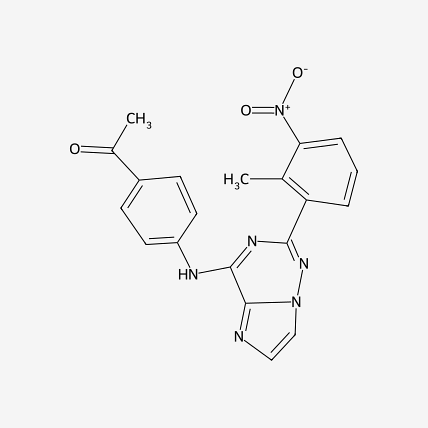 CC(=O)c1ccc(Nc2nc(-c3cccc([N+](=O)[O-])c3C)nn3ccnc23)cc1